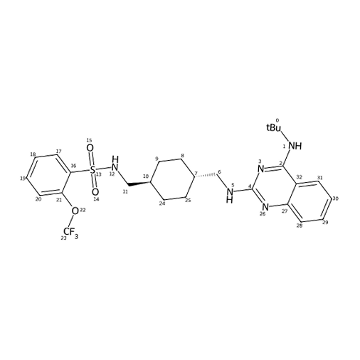 CC(C)(C)Nc1nc(NC[C@H]2CC[C@H](CNS(=O)(=O)c3ccccc3OC(F)(F)F)CC2)nc2ccccc12